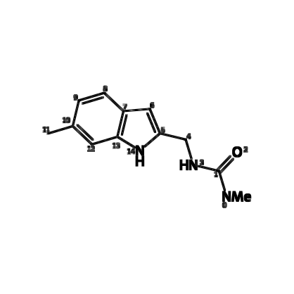 CNC(=O)NCc1cc2ccc(C)cc2[nH]1